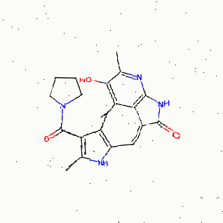 Cc1nc2c(c(C)c1O)C(=Cc1[nH]c(C)c(C(=O)N3CCCC3)c1C)C(=O)N2